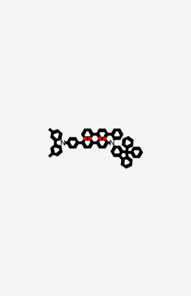 Cc1ccc2c(c1)c1cc(C)ccc1n2-c1ccc(-c2ccc(-c3ccc(N(c4ccc5c(c4)C(c4ccccc4)(c4ccccc4)c4ccccc4-5)c4ccccc4-c4ccc(-c5ccccc5)cc4)cc3)cc2)cc1